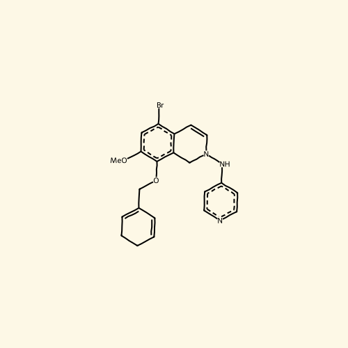 COc1cc(Br)c2c(c1OCC1=CCCC=C1)CN(Nc1ccncc1)C=C2